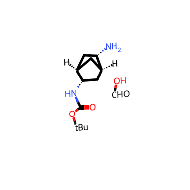 CC(C)(C)OC(=O)N[C@H]1C[C@H]2C[C@@H]1C[C@@H]2N.O=CO